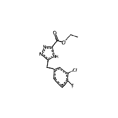 CCOC(=O)c1nnc(Cc2ccc(F)c(Cl)c2)[nH]1